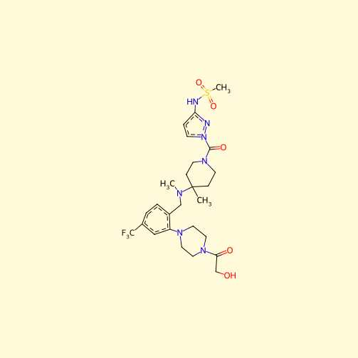 CN(Cc1ccc(C(F)(F)F)cc1N1CCN(C(=O)CO)CC1)C1(C)CCN(C(=O)n2ccc(NS(C)(=O)=O)n2)CC1